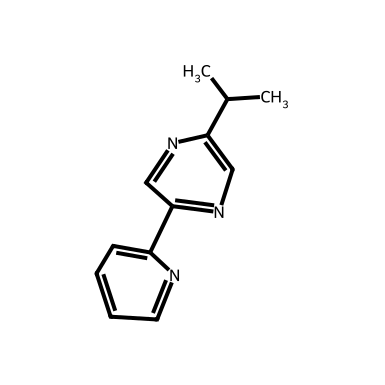 CC(C)c1cnc(-c2ccccn2)cn1